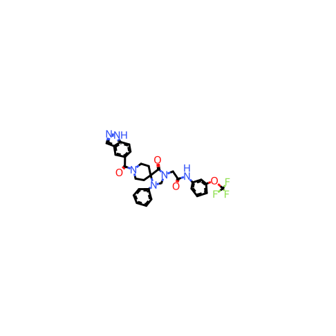 O=C(CN1CN(c2ccccc2)C2(CCN(C(=O)c3ccc4[nH]ncc4c3)CC2)C1=O)Nc1cccc(OC(F)(F)F)c1